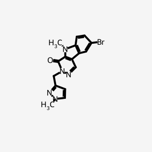 Cn1ccc(Cn2ncc3c4cc(Br)ccc4n(C)c3c2=O)n1